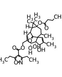 CCCC(=O)O[C@@]12CC(C)C34C=C(C)[C@H](O)[C@@]3(O)[C@H](O)C(COC(=O)c3c(CC)noc3CC)=C[C@H](C4=O)[C@@H]1C2(C)C